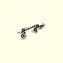 Cn1nc(C(F)(F)F)cc1-c1ccc(OCCCCCOCCNc2cccc3c2C(=O)N(C2CCC(O)NC2=O)C3O)c(-c2ccc(Cl)c(C(F)(F)F)c2)c1O